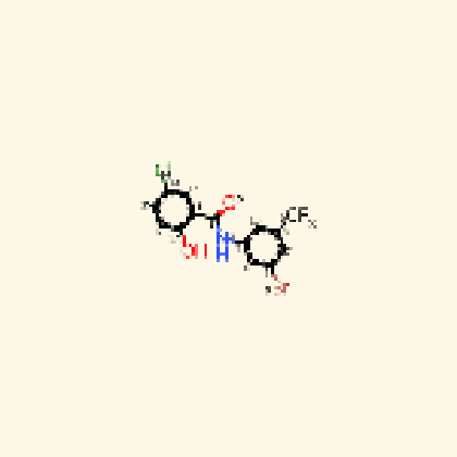 O=C(Nc1cc(Br)cc(C(F)(F)F)c1)c1cc(Cl)ccc1O